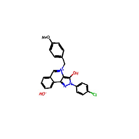 COc1ccc(C[n+]2cc3ccccc3c3nn(-c4ccc(Cl)cc4)c(O)c32)cc1.[OH-]